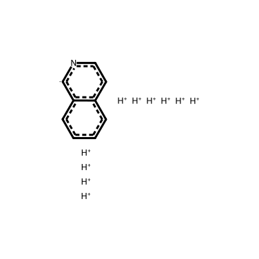 [H+].[H+].[H+].[H+].[H+].[H+].[H+].[H+].[H+].[H+].[c]1nccc2ccccc12